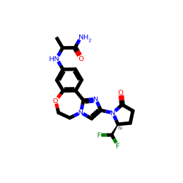 CC(Nc1ccc2c(c1)OCCn1cc(N3C(=O)CC[C@H]3C(F)F)nc1-2)C(N)=O